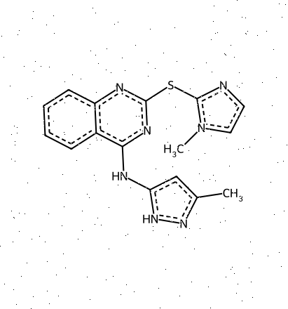 Cc1cc(Nc2nc(Sc3nccn3C)nc3ccccc23)[nH]n1